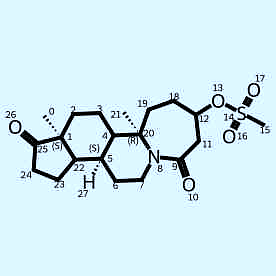 C[C@]12CCC3[C@@H](CCN4C(=O)CC(OS(C)(=O)=O)CC[C@]34C)C1CCC2=O